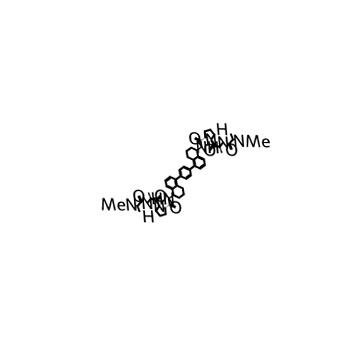 CN[C@@H](C)C(=O)N[C@@H](C)C(=O)N1CCC[C@H]1C(=O)N[C@@H]1CCCc2c(-c3ccc(-c4cccc5c4CCC[C@H]5NC(=O)[C@@H]4CCCN4C(=O)[C@H](C)NC(=O)[C@H](C)NC)cc3)cccc21